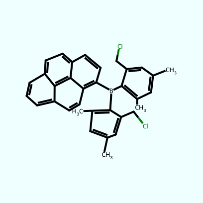 Cc1cc(C)c(B(c2c(C)cc(C)cc2CCl)c2ccc3ccc4cccc5ccc2c3c45)c(CCl)c1